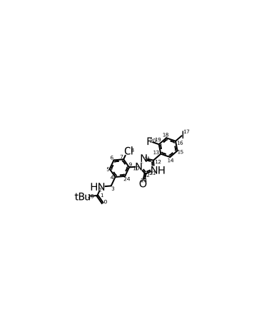 C=C(NCc1ccc(Cl)c(-n2nc(-c3ccc(I)cc3F)[nH]c2=O)c1)C(C)(C)C